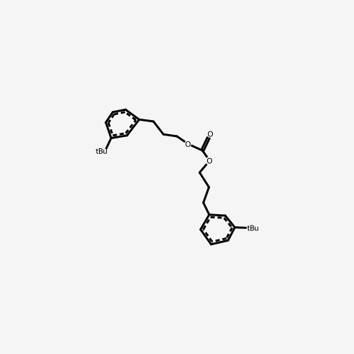 CC(C)(C)c1cccc(CCCOC(=O)OCCCc2cccc(C(C)(C)C)c2)c1